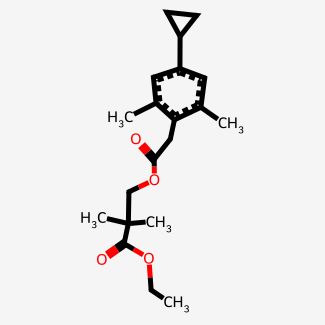 CCOC(=O)C(C)(C)COC(=O)Cc1c(C)cc(C2CC2)cc1C